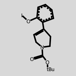 CC(C)(C)OC(=O)N1CC=C(c2ccccc2OI)CC1